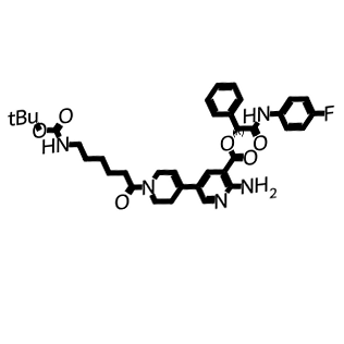 CC(C)(C)OC(=O)NCCCCCC(=O)N1CC=C(c2cnc(N)c(C(=O)O[C@@H](C(=O)Nc3ccc(F)cc3)c3ccccc3)c2)CC1